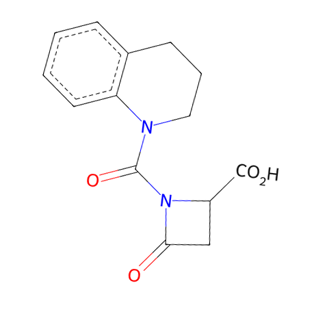 O=C(O)C1CC(=O)N1C(=O)N1CCCc2ccccc21